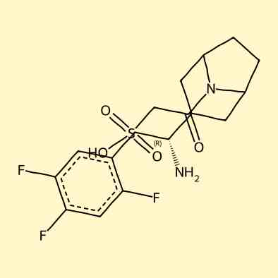 N[C@H](Cc1cc(F)c(F)cc1F)C1CC2CCC(C1)N2C(=O)CS(=O)(=O)O